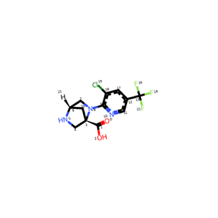 O=C(O)[C@]12CN[C@H](CN1c1ncc(C(F)(F)F)cc1Cl)C2